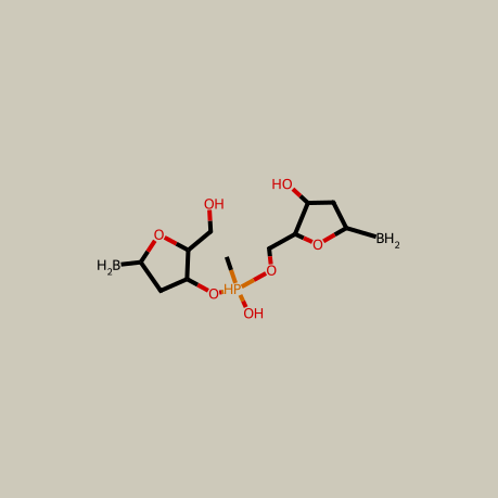 BC1CC(O)C(CO[PH](C)(O)OC2CC(B)OC2CO)O1